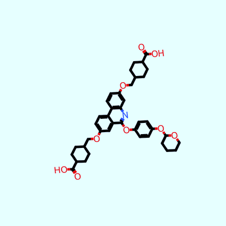 O=C(O)C1CCC(COc2ccc3c(c2)nc(Oc2ccc(OC4CCCCO4)cc2)c2cc(OCC4CCC(C(=O)O)CC4)ccc23)CC1